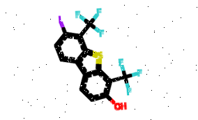 Oc1ccc2c(sc3c(C(F)(F)F)c(I)ccc32)c1C(F)(F)F